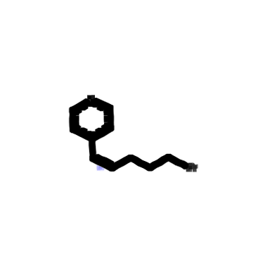 CC(C)CCC/C=C\c1ccncc1